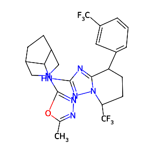 Cc1nnc(N2CC3CCC(C2)C3Nc2nc3n(n2)C(C(F)(F)F)CCC3c2cccc(C(F)(F)F)c2)o1